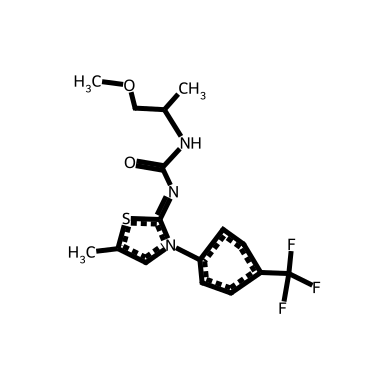 COCC(C)NC(=O)/N=c1\sc(C)cn1-c1ccc(C(F)(F)F)cc1